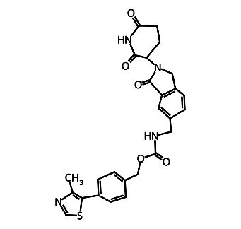 Cc1ncsc1-c1ccc(COC(=O)NCc2ccc3c(c2)C(=O)N(C2CCC(=O)NC2=O)C3)cc1